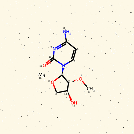 CO[C@H]1[C@H](n2ccc(N)nc2=O)OC[C@@H]1O.[Mg]